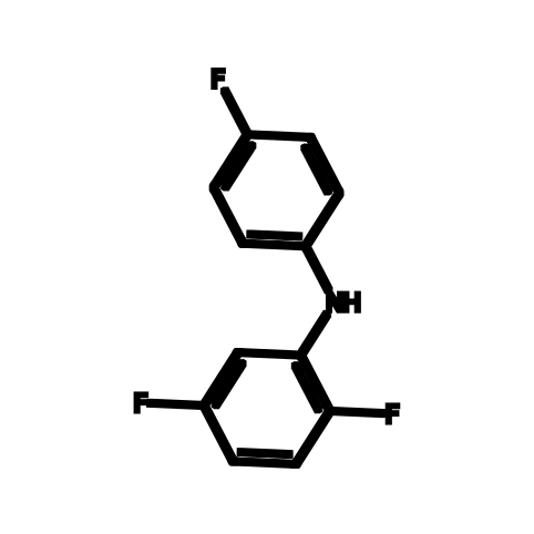 Fc1ccc(Nc2cc(F)ccc2F)cc1